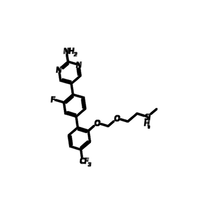 C[SiH](C)CCOCOc1cc(C(F)(F)F)ccc1-c1ccc(-c2cnc(N)nc2)c(F)c1